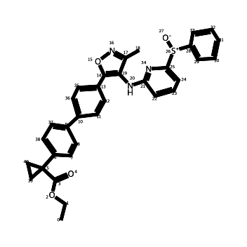 CCOC(=O)C1(c2ccc(-c3ccc(-c4onc(C)c4Nc4cccc([S+]([O-])c5ccccc5)n4)cc3)cc2)CC1